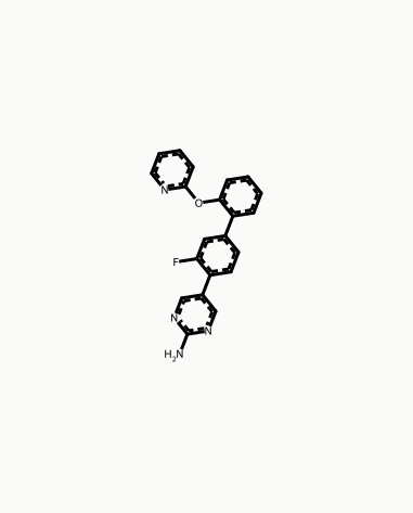 Nc1ncc(-c2ccc(-c3ccccc3Oc3ccccn3)cc2F)cn1